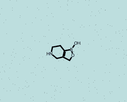 OB1OCC2=C1CCNC2